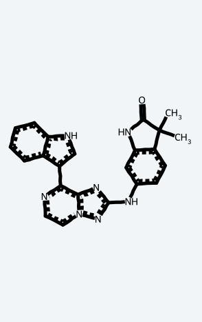 CC1(C)C(=O)Nc2cc(Nc3nc4c(-c5c[nH]c6ccccc56)nccn4n3)ccc21